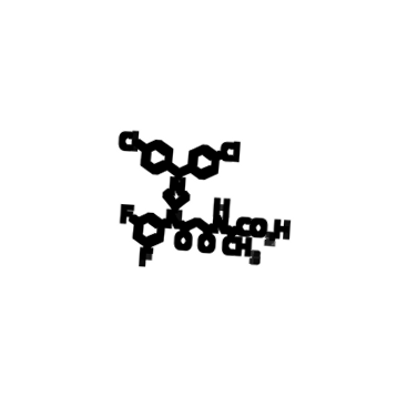 CC(NC(=O)CC(=O)N(c1cc(F)cc(F)c1)C1CN(C(c2ccc(Cl)cc2)c2ccc(Cl)cc2)C1)C(=O)O